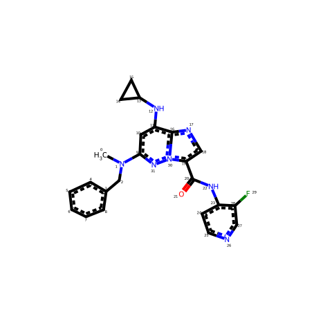 CN(Cc1ccccc1)c1cc(NC2CC2)c2ncc(C(=O)Nc3ccncc3F)n2n1